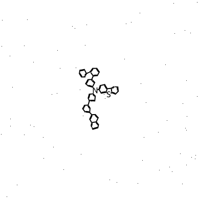 c1ccc(-c2ccccc2-c2cccc(N(c3ccc(-c4cccc(-c5ccc6ccccc6c5)c4)cc3)c3ccc4c(c3)sc3ccccc34)c2)cc1